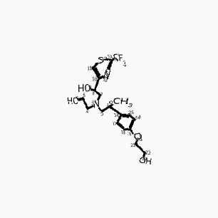 CC(CN(CCO)CC(O)c1csc(C(F)(F)F)n1)c1ccc(OCCO)cc1